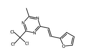 Cc1nc(/C=C/c2ccco2)nc(C(Cl)(Cl)Cl)n1